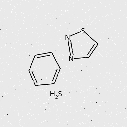 S.c1ccccc1.c1csnn1